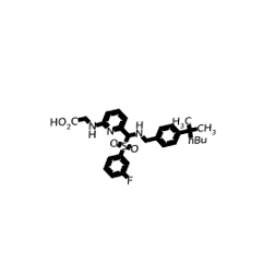 CCCCC(C)(C)c1ccc(CNC(c2cccc(NCC(=O)O)n2)S(=O)(=O)c2cccc(F)c2)cc1